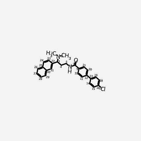 CN(C)C(CCNC(=O)c1ccc(-c2ccc(Cl)cc2)cc1)c1ccc2ccccc2c1